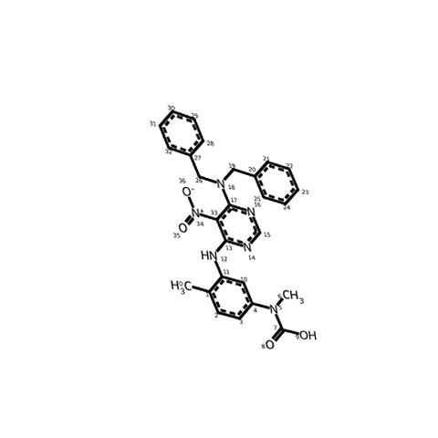 Cc1ccc(N(C)C(=O)O)cc1Nc1ncnc(N(Cc2ccccc2)Cc2ccccc2)c1[N+](=O)[O-]